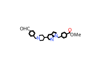 COC(=O)c1ccc(Cn2ccc3cc(C4CCN(Cc5ccc(C=O)cc5)CC4)cnc32)cc1